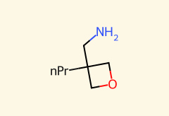 CCCC1(CN)COC1